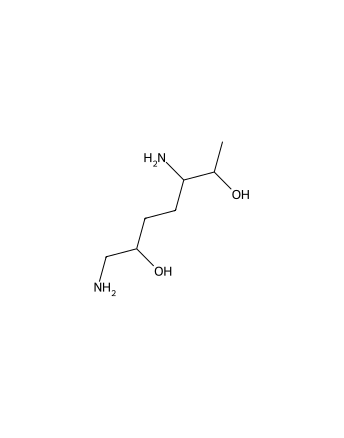 CC(O)C(N)CCC(O)CN